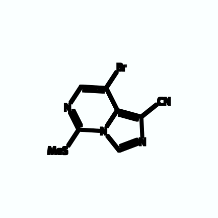 CSc1ncc(Br)c2c(C#N)ncn12